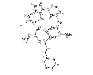 C=CC(=O)Nc1cc(Nc2nccc(-n3ccc4cc(F)ccc43)n2)c(OC)cc1OCCN1CCOCC1